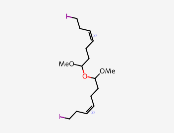 COC(CC/C=C\CCI)OC(CC/C=C\CCI)OC